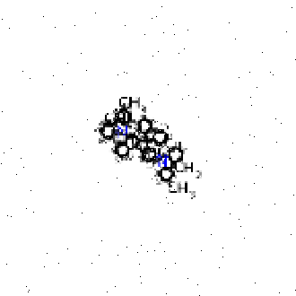 Cc1ccc2c(c1)C1(C)CCCCC1(C)N2c1ccc2c(c1)C(c1ccccc1)(c1ccccc1)c1cc(N3c4ccc(C)cc4C4(C)CCCCC34C)c3ccccc3c1-2